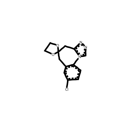 Clc1ccc2c(c1)CC1(Cc3nncn3-2)OCCO1